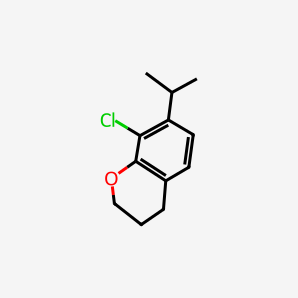 CC(C)c1ccc2c(c1Cl)OCCC2